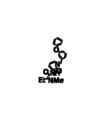 CCC(NC)C(=O)Nc1cccn(Cc2cccc(Oc3ccccc3)c2)c1=O